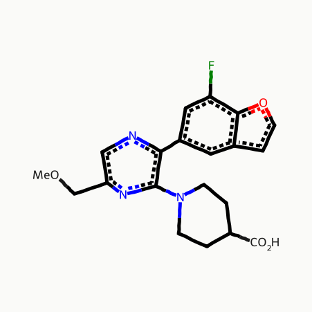 COCc1cnc(-c2cc(F)c3occc3c2)c(N2CCC(C(=O)O)CC2)n1